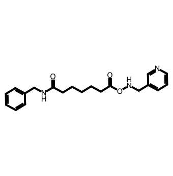 O=C(CCCCCC(=O)ONCc1cccnc1)NCc1ccccc1